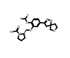 CCC(=O)N1CCC[C@@H]1COc1cc(C2=NOC3(CCOC3)C2)ccc1OC(F)F